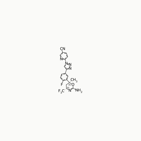 C[C@@]1(c2cc(-c3cn(-c4ccc(C#N)cn4)nn3)ccc2F)C[C@@H](C(F)(F)F)N=C(N)O1